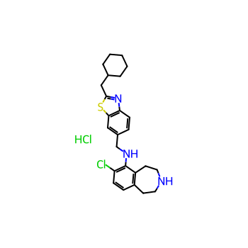 Cl.Clc1ccc2c(c1NCc1ccc3nc(CC4CCCCC4)sc3c1)CCNCC2